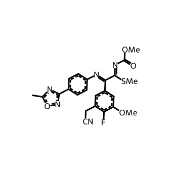 COC(=O)N=C(SC)C(=Nc1ccc(-c2noc(C)n2)cc1)c1cc(CC#N)c(F)c(OC)c1